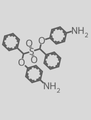 Nc1ccc(OC(c2ccccc2)S(=O)(=O)C(Oc2ccc(N)cc2)c2ccccc2)cc1